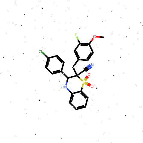 COc1ccc(CC2(C#N)C(c3ccc(Cl)cc3)Nc3ccccc3S2(=O)=O)cc1F